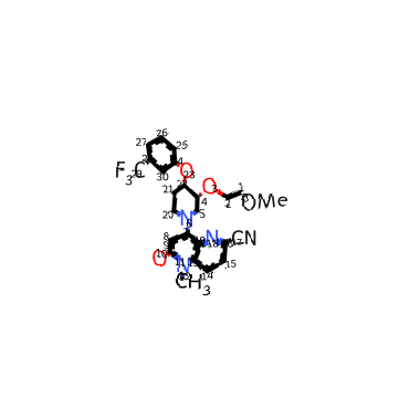 COCCO[C@@H]1CN(c2cc(=O)n(C)c3ccc(C#N)nc23)CC[C@H]1Oc1cccc(C(F)(F)F)c1